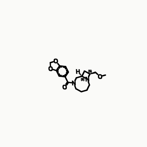 COC[C@@H]1C[C@@H]2CN(C(=O)c3ccc4c(c3)OCO4)CCCCN12